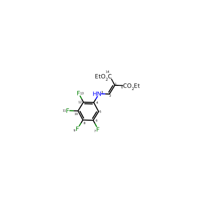 CCOC(=O)C(=CNc1cc(F)c(F)c(F)c1F)C(=O)OCC